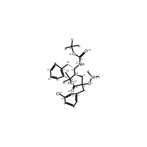 C[SiH](C)OC(Cc1cccc(Cl)c1)(C[C@H]([C@H](Cc1ccccc1)NC(=O)OC(C)(C)C)C(C)(C)C)C(=O)O